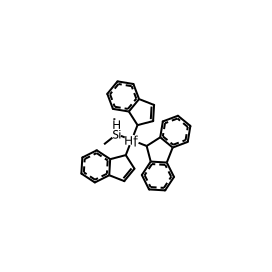 C[SiH](C)[Hf]([CH]1C=Cc2ccccc21)([CH]1C=Cc2ccccc21)[CH]1c2ccccc2-c2ccccc21